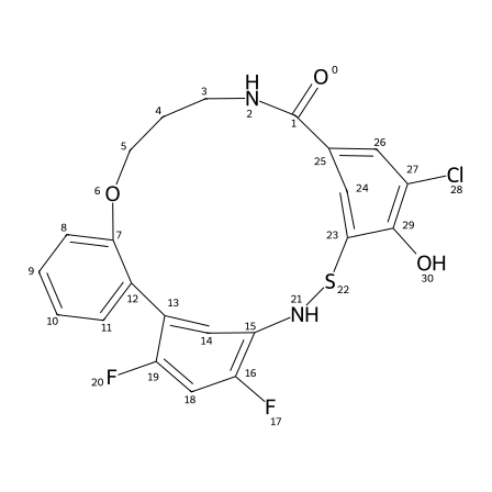 O=C1NCCCOc2ccccc2-c2cc(c(F)cc2F)NSc2cc1cc(Cl)c2O